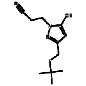 CC(C)(C)SCc1cc(O)n(CCC#N)n1